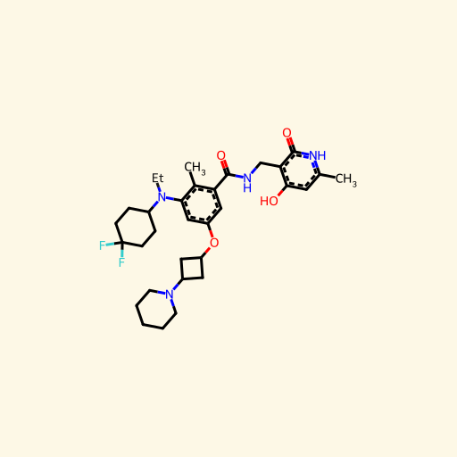 CCN(c1cc(OC2CC(N3CCCCC3)C2)cc(C(=O)NCc2c(O)cc(C)[nH]c2=O)c1C)C1CCC(F)(F)CC1